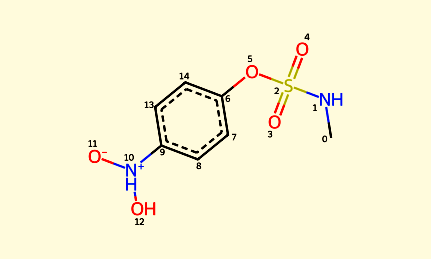 CNS(=O)(=O)Oc1ccc([NH+]([O-])O)cc1